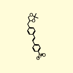 CC1(C)OCC(Cc2ccc(C=Cc3ccc([N+](=O)[O-])cc3)cc2)O1